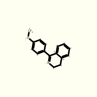 FC(F)(F)Oc1ccc(C2=NCCc3ccccc32)cc1